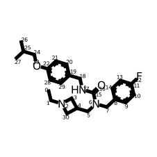 CCN1CC(CN(Cc2ccc(F)cc2)C(=O)NCc2ccc(OCC(C)C)cc2)C1